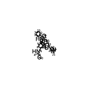 COC[C@@H](C)NCc1ccc(F)c(C23COC(c4cnn(C)c4)CC2CSC(NC(=O)c2ccccc2)=N3)c1